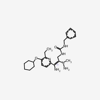 CCc1nc(/C(N)=C(\CNC(=O)NCc2ccccc2)N(C)N)ccc1OC1CCCCC1